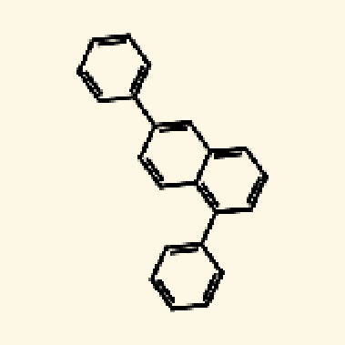 [c]1ccc(-c2ccc3c(-c4ccccc4)cccc3c2)cc1